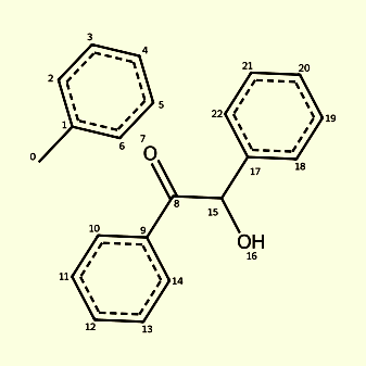 Cc1ccccc1.O=C(c1ccccc1)C(O)c1ccccc1